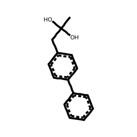 CC(O)(O)Cc1ccc(-c2ccccc2)cc1